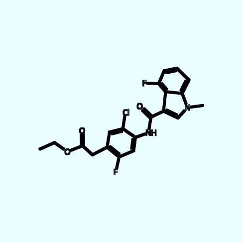 CCOC(=O)Cc1cc(Cl)c(NC(=O)c2cn(C)c3cccc(F)c23)cc1F